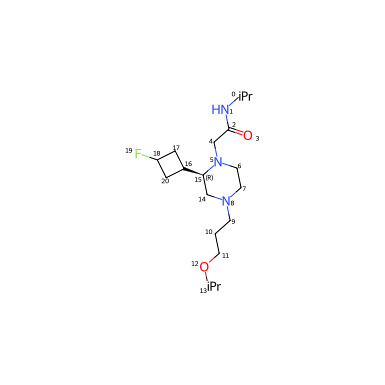 CC(C)NC(=O)CN1CCN(CCCOC(C)C)C[C@H]1C1CC(F)C1